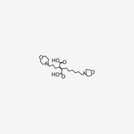 O=C(O)/C(CCCCCCN1CCOCC1)=C(\CCCN1CCOCC1)C(=O)O